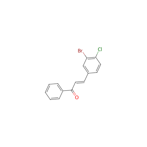 O=C(/C=C/c1ccc(Cl)c(Br)c1)c1ccccc1